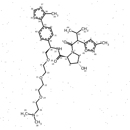 Cc1cc(C(C(=O)N2C[C@H](O)C[C@H]2C(=O)N[C@@H](COCCOCCOCCN(C)C)c2ccc(-c3scnc3C)cc2)C(C)C)on1